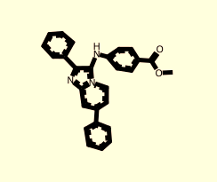 COC(=O)c1ccc(Nc2c(-c3ccccc3)nc3cc(-c4ccccc4)ccn23)cc1